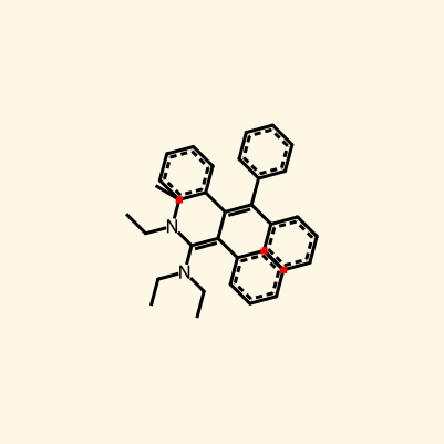 CCN(CC)C(=C(C(=C(c1ccccc1)c1ccccc1)c1ccccc1)c1ccccc1)N(CC)CC